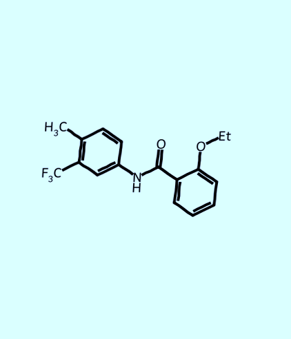 CCOc1ccccc1C(=O)Nc1ccc(C)c(C(F)(F)F)c1